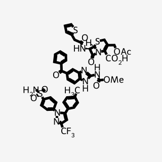 CC(=O)OCC1=C(C(=O)O)N2C(=O)[C@@H](NC(=O)Cc3cccs3)[C@H]2SC1.COC(=O)Nc1nc2cc(C(=O)c3ccccc3)ccc2[nH]1.Cc1ccc(-c2cc(C(F)(F)F)nn2-c2ccc(S(N)(=O)=O)cc2)cc1